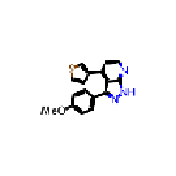 COc1ccc(-c2n[nH]c3nccc(-c4ccsc4)c23)cc1